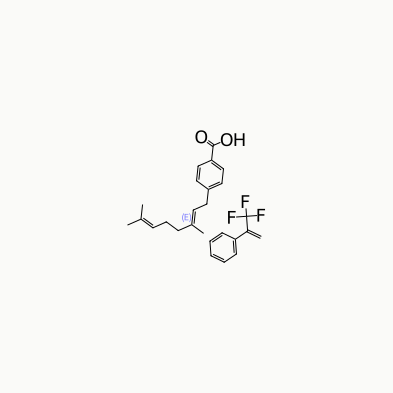 C=C(c1ccccc1)C(F)(F)F.CC(C)=CCC/C(C)=C/Cc1ccc(C(=O)O)cc1